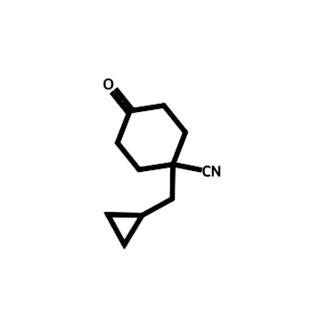 N#CC1(CC2CC2)CCC(=O)CC1